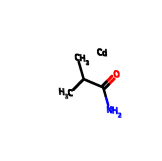 CC(C)C(N)=O.[Cd]